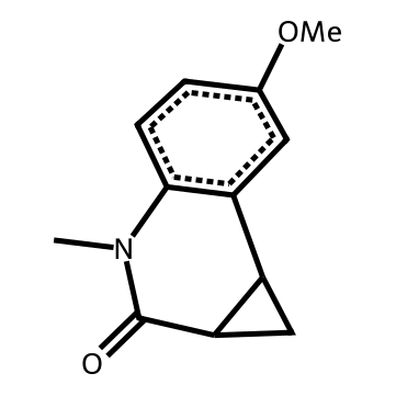 COc1ccc2c(c1)C1CC1C(=O)N2C